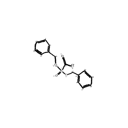 CCC(=O)P(=O)(OCc1ccccc1)OCc1ccccc1